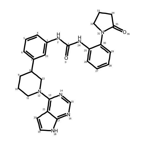 O=C(Nc1cccc(C2CCCN(c3ncnc4[nH]ccc34)C2)c1)Nc1ccccc1N1CCCC1=O